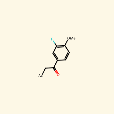 COc1ccc(C(=O)CC(C)=O)cc1F